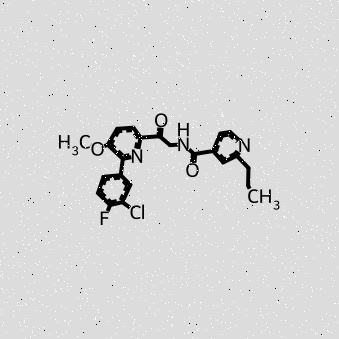 CCCc1cc(C(=O)NCC(=O)c2ccc(OC)c(-c3ccc(F)c(Cl)c3)n2)ccn1